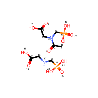 CC(=O)N(CC(=O)O)CP(=O)(O)O.O=C(O)CNCP(=O)(O)O